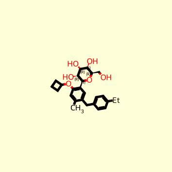 CCc1ccc(Cc2cc([C@@H]3O[C@H](CO)[C@@H](O)[C@H](O)[C@H]3O)c(OC3CCC3)cc2C)cc1